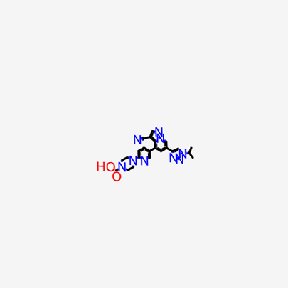 CC(C)n1cc(-c2cc(-c3ccc(N4CCN(C(=O)O)CC4)nc3)c3c(C#N)cnn3c2)nn1